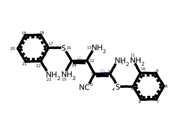 N#CC(=C(/N)Sc1ccccc1N)/C(N)=C(\N)Sc1ccccc1N